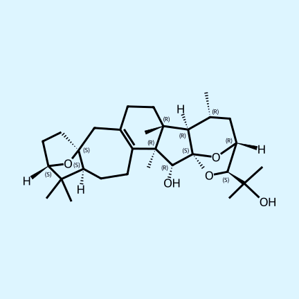 C[C@@H]1C[C@H]2O[C@]3(O[C@@H]2C(C)(C)O)[C@H]1[C@@]1(C)CCC2=C(CC[C@H]4C(C)(C)[C@@H]5CC[C@@]4(C2)O5)[C@]1(C)[C@H]3O